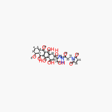 COc1cccc2c1C(=O)c1c(O)c3c(c(O)c1C2=O)C[C@@](O)(/C(CO)=N/NC(=O)CCN1C(=O)C=CC1=O)C[C@@H]3O